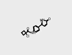 O=C(Nc1ccc(-c2ccc(=O)[nH]n2)cc1)C1(Cl)CCC1